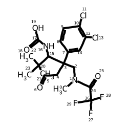 CN(CC(CC=O)(c1ccc(Cl)c(Cl)c1)C(NC(=O)O)C(C)(C)C)C(=O)C(F)(F)F